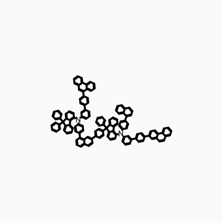 c1ccc(C2(c3ccccc3)c3ccccc3-c3c(N(c4ccc(-c5cccc6ccc(-c7ccc(C8(c9ccccc9)c9ccccc9-c9c(N(c%10ccc(-c%11cccc%12ccccc%11%12)cc%10)c%10cccc(-c%11ccc(-c%12ccc%13c(ccc%14ccccc%14%13)c%12)cc%11)c%10)cccc98)cc7)cc56)cc4)c4cccc(-c5ccc(-c6cc7ccccc7c7ccccc67)cc5)c4)cccc32)cc1